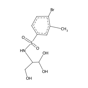 Cc1cc(S(=O)(=O)NC(CO)C(O)O)ccc1Br